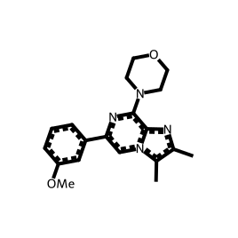 COc1cccc(-c2cn3c(C)c(C)nc3c(N3CCOCC3)n2)c1